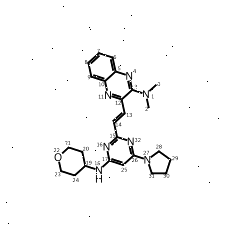 CN(C)c1nc2ccccc2nc1C=Cc1nc(NC2CCOCC2)cc(N2CCCC2)n1